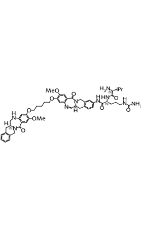 COc1cc2c(cc1OCCCCCOc1cc3c(cc1OC)C(=O)N1Cc4ccccc4C[C@H]1CN3)N=C[C@@H]1Cc3ccc(NC(=O)[C@H](CCCNC(N)=O)NC(=O)[C@@H](N)C(C)C)cc3CN1C2=O